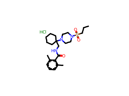 CCCS(=O)(=O)N1CCN(C2(CNC(=O)c3c(C)cccc3C)CCCCC2)CC1.Cl